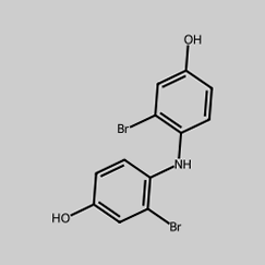 Oc1ccc(Nc2ccc(O)cc2Br)c(Br)c1